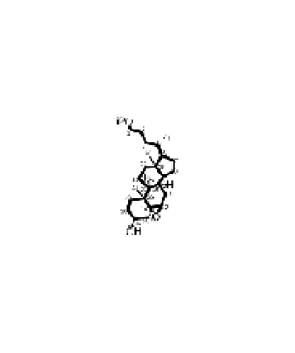 CC(C)CCC[C@H](C)C1CCC2[C@H]3CC4O[C@]45C[C@@H](O)CC[C@]5(C)[C@H]3CC[C@@]21C